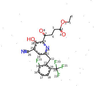 CCOC(=O)CCC(=O)c1nc(Cc2c(F)cccc2C(F)(F)F)cc(C#N)c1O